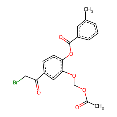 CC(=O)OCOc1cc(C(=O)CBr)ccc1OC(=O)c1cccc(C)c1